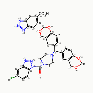 O=C(N1CCN(C(c2ccc3c(c2)COCO3)c2ccc3c(c2)COCO3)CC1)n1nnc2cc(F)ccc21.O=C(O)C1=CC=C2N=NN=C2C1